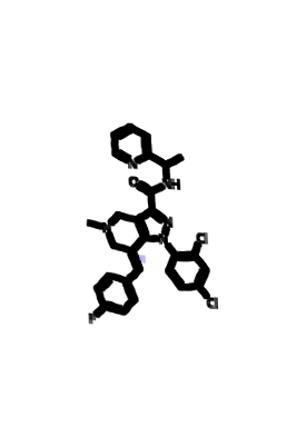 CC(NC(=O)c1nn(-c2ccc(Cl)cc2Cl)c2c1CN(C)C/C2=C\c1ccc(F)cc1)c1ccccn1